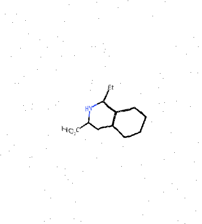 CCC1NC(C(=O)O)CC2CCCCC21